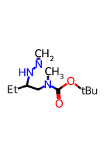 C=NNC(CC)CN(C)C(=O)OC(C)(C)C